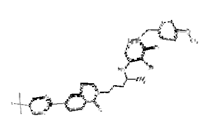 COc1ccc(Cn2ncc(NC(C)CCCn3ccc4cc(-c5ncc(C(F)(F)F)cn5)ccc4c3=O)c(Br)c2=O)cc1